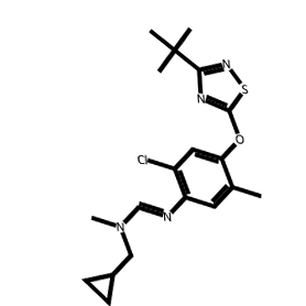 Cc1cc(N=CN(C)CC2CC2)c(Cl)cc1Oc1nc(C(C)(C)C)ns1